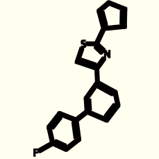 Fc1ccc(-c2cccc(-c3csc(C4=CCC=C4)n3)c2)cc1